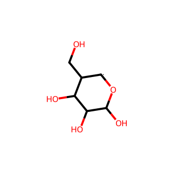 OCC1[CH]OC(O)C(O)C1O